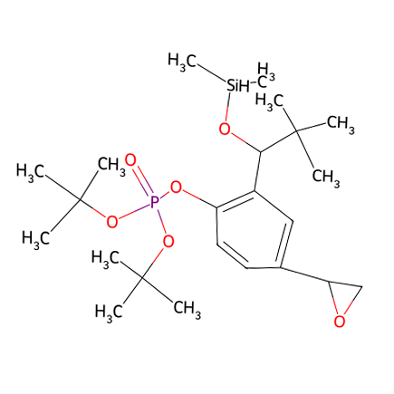 C[SiH](C)OC(c1cc(C2CO2)ccc1OP(=O)(OC(C)(C)C)OC(C)(C)C)C(C)(C)C